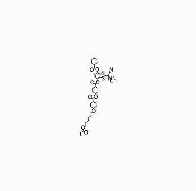 [C-]#[N+]/C(C#N)=C1/Sc2c(OC(=O)C3CCC(C)CC3)ccc(OC(=O)C3CCC(OC(=O)C4CCC(OCCCCCCOC(=O)C=C)CC4)CC3)c2S1